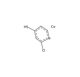 Sc1ccnc(Cl)c1.[Co]